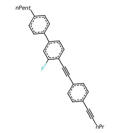 CCCC#Cc1ccc(C#Cc2ccc(-c3ccc(CCCCC)cc3)cc2F)cc1